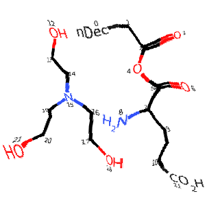 CCCCCCCCCCCC(=O)OC(=O)C(N)CCC(=O)O.OCCN(CCO)CCO